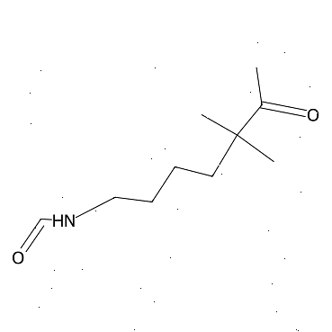 CC(=O)C(C)(C)CCCCNC=O